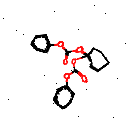 O=C(Oc1ccccc1)OC1(OC(=O)Oc2ccccc2)CCCCC1